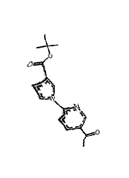 CC(=O)c1ccc(-n2ccc(C(=O)OC(C)(C)C)c2)nc1